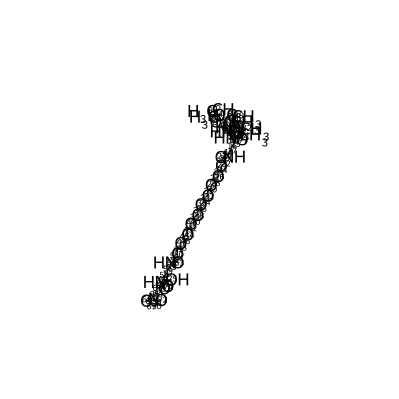 CC(C)(C)OC(=O)CC[C@H](NC(=O)N[C@@H](CCCCNC(=O)COCCOCCOCCOCCOCCOCCOCCOCCOCCOCC(=O)NCCCC[C@H](NC(=O)CCCN1C(=O)C=CC1=O)C(=O)O)C(=O)OC(C)(C)C)C(=O)OC(C)(C)C